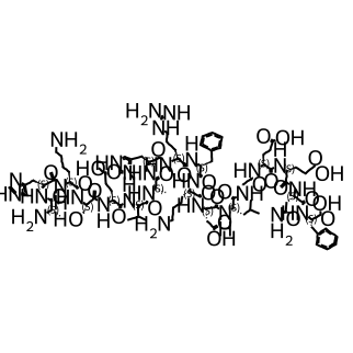 CC(C)C[C@H](NC(=O)[C@H](CC(=O)O)NC(=O)[C@H](CCCCN)NC(=O)[C@H](Cc1ccccc1)NC(=O)[C@H](CCCNC(=N)N)NC(=O)[C@H](Cc1c[nH]cn1)NC(=O)[C@H](C)NC(=O)[C@@H](NC(=O)[C@H](CCC(=O)O)NC(=O)[C@H](CO)NC(=O)[C@H](CCCCN)NC(=O)[C@H](Cc1c[nH]cn1)NC(=O)[C@H](C)N)C(C)C)C(=O)NCC(=O)N[C@@H](CCC(=O)O)C(=O)N[C@@H](CCC(=O)O)C(=O)N[C@@H](CC(N)=O)C(=O)N[C@@H](Cc1ccccc1)C(=O)O